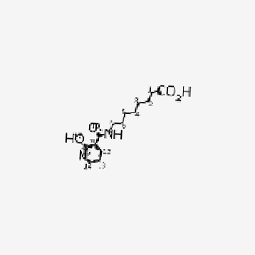 O=C(O)CCCCCCCNC(=O)c1cccnc1O